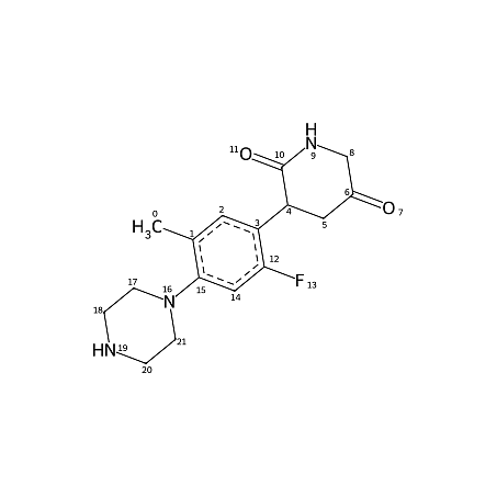 Cc1cc(C2CC(=O)CNC2=O)c(F)cc1N1CCNCC1